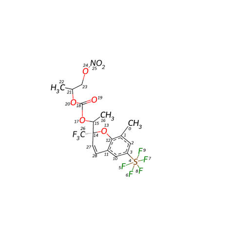 Cc1cc(S(F)(F)(F)(F)F)cc2c1O[C@@](C(C)OC(=O)OC(C)CO[N+](=O)[O-])(C(F)(F)F)C=C2